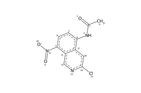 CC(=O)Nc1ccc([N+](=O)[O-])c2cnc(Cl)cc12